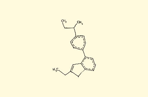 CCC1=Cc2c(cccc2-c2ccc(C(C)CC)cc2)[CH]1